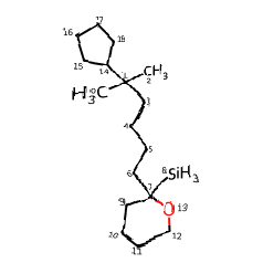 CC(C)(CCCCC1([SiH3])CCCCO1)C1CCCC1